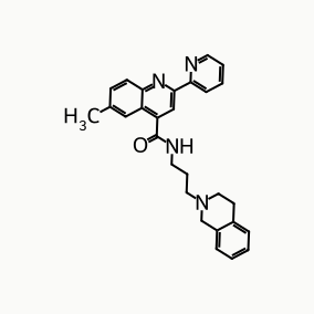 Cc1ccc2nc(-c3ccccn3)cc(C(=O)NCCCN3CCc4ccccc4C3)c2c1